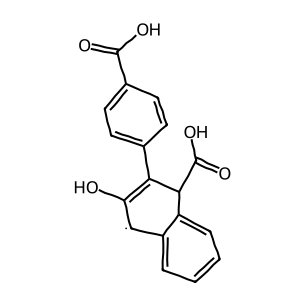 O=C(O)c1ccc(C2=C(O)[CH]c3ccccc3C2C(=O)O)cc1